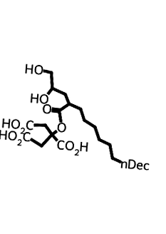 CCCCCCCCCCCCCCCCC(CC(O)CO)C(=O)OC(CC(=O)O)(CC(=O)O)C(=O)O